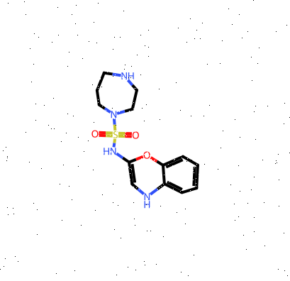 O=S(=O)(NC1=CNc2ccccc2O1)N1CCCNCC1